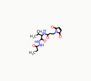 CCC(=O)NNC(=O)C(NC(=O)CCN1C(=O)C=CC1=O)C(C)C